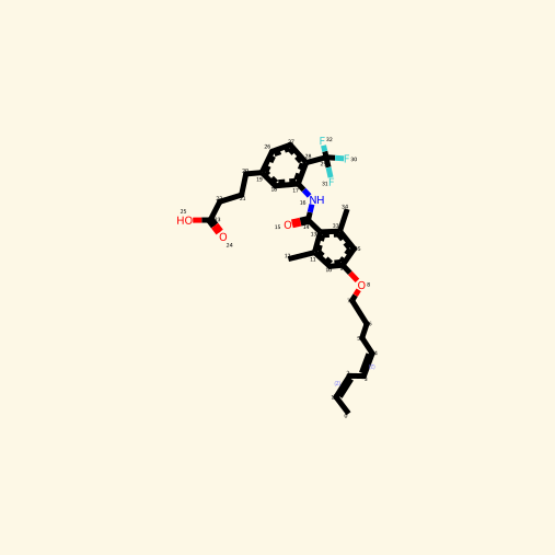 C/C=C\C=C/CCCOc1cc(C)c(C(=O)Nc2cc(CCCC(=O)O)ccc2C(F)(F)F)c(C)c1